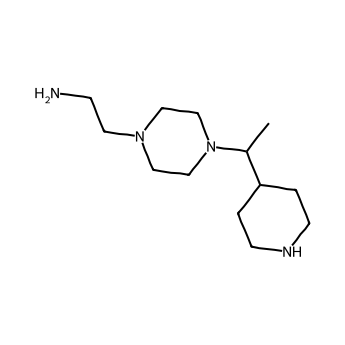 CC(C1CCNCC1)N1CCN(CCN)CC1